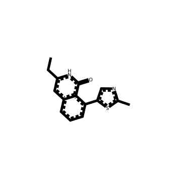 CCc1cc2cccc(-c3cnc(C)s3)c2c(=O)[nH]1